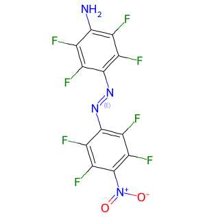 Nc1c(F)c(F)c(/N=N/c2c(F)c(F)c([N+](=O)[O-])c(F)c2F)c(F)c1F